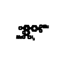 COC(=O)C(C)Cc1cc(Cl)ccc1C1CCN(C(=O)OC(C)(C)C)CC1